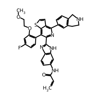 C=CC(=O)Nc1ccc2nc(-c3nc(-c4ccc5c(c4)CCNC5)c4ccsc4c3-c3ccc(F)cc3OCCOC)[nH]c2c1